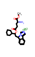 COC(=O)[C@@H](N)CCC(=O)OC(CC1c2ccccc2-c2cncn21)C1CCCCC1.Cl.Cl